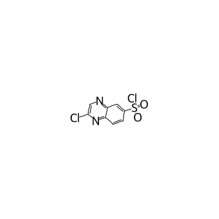 O=S(=O)(Cl)c1ccc2nc(Cl)cnc2c1